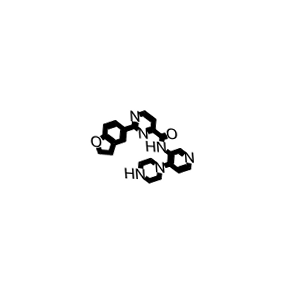 O=C(Nc1cnccc1N1CCNCC1)c1ccnc(-c2ccc3c(c2)CCO3)n1